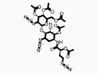 CC(=O)OCC1O[C@H](O[C@@H]2C(N=[N+]=[N-])C[C@@H](NC(=O)[C@H](CCN=[N+]=[N-])OC(C)=O)C(OC(C)=O)[C@H]2O)C(N=[N+]=[N-])[C@@H](OC(C)=O)[C@@H]1OC(C)=O